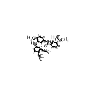 [C-]#[N+]c1ccc(Nc2cc(NC(=O)c3cccc(N(C)C)c3)ccc2C)cc1[N+]#[C-]